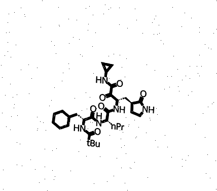 CCC[C@H](NC(=O)[C@@H](CC1CCCCC1)NC(=O)C(C)(C)C)C(=O)N[C@@H](C[C@@H]1CCNC1=O)C(=O)C(=O)NC1CC1